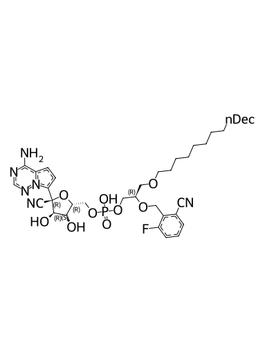 CCCCCCCCCCCCCCCCCCOC[C@H](COP(=O)(O)OC[C@H]1O[C@@](C#N)(c2ccc3c(N)ncnn23)[C@H](O)[C@@H]1O)OCc1c(F)cccc1C#N